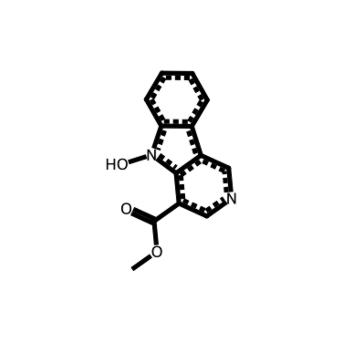 COC(=O)c1cncc2c3ccccc3n(O)c12